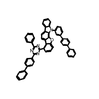 c1ccc(-c2ccc(-c3cccc(-n4c5ccccc5c5ccc6c(oc7cccc(-c8nc(-c9ccccc9)nc(-c9ccc(-c%10ccccc%10)cc9)n8)c76)c54)c3)cc2)cc1